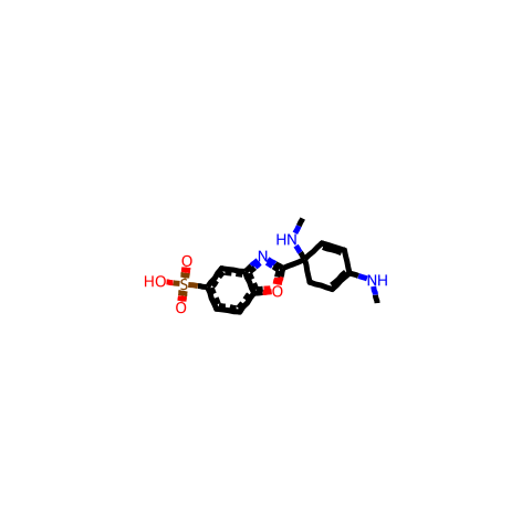 CNC1=CCC(NC)(c2nc3cc(S(=O)(=O)O)ccc3o2)C=C1